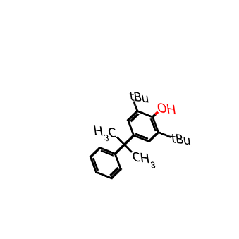 CC(C)(C)c1cc(C(C)(C)c2ccccc2)cc(C(C)(C)C)c1O